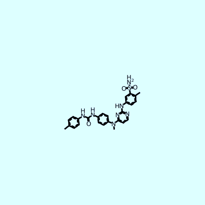 Cc1ccc(NC(=O)Nc2ccc(N(C)c3ccnc(Nc4ccc(C)c(S(N)(=O)=O)c4)n3)cc2)cc1